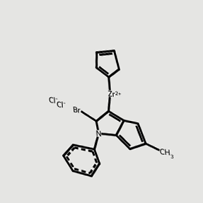 CC1=CC2=[C]([Zr+2][C]3=CC=CC3)C(Br)N(c3ccccc3)C2=C1.[Cl-].[Cl-]